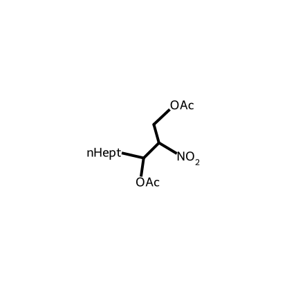 CCCCCCCC(OC(C)=O)C(COC(C)=O)[N+](=O)[O-]